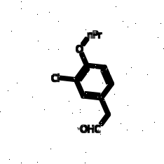 CCCOc1ccc(C[C]=O)cc1Cl